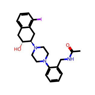 CC(=O)NCc1ccccc1N1CCN([C@@H]2Cc3c(I)cccc3C[C@H]2O)CC1